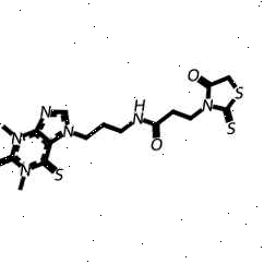 Cn1c(=S)c2c(ncn2CCCNC(=O)CCN2C(=O)CSC2=S)n(C)c1=O